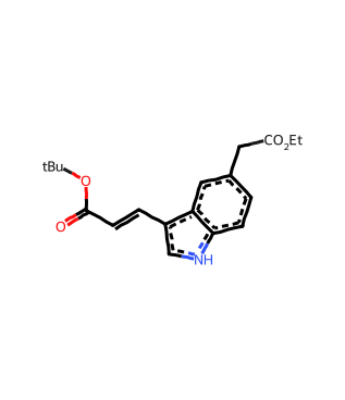 CCOC(=O)Cc1ccc2[nH]cc(C=CC(=O)OC(C)(C)C)c2c1